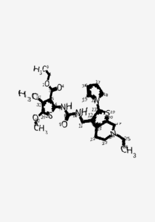 CCOC(=O)c1c(NC(=O)NCc2c(-n3cccc3)sc3c2CCN(CC)C3)sc(OC)c1C